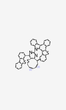 C=C1/C=C\C=C/CSc2c1nc(-n1c3ccccc3c3c4ccccc4c4sc5ccccc5c4c31)nc2-c1cccc2c1sc1ccccc12